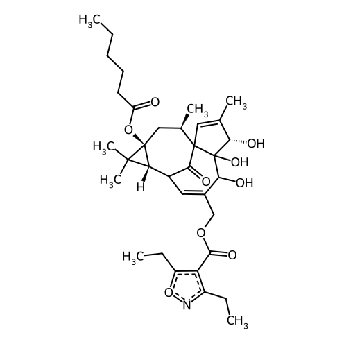 CCCCCC(=O)O[C@@]12C[C@@H](C)C34C=C(C)[C@H](O)C3(O)C(O)C(COC(=O)c3c(CC)noc3CC)=CC(C4=O)[C@@H]1C2(C)C